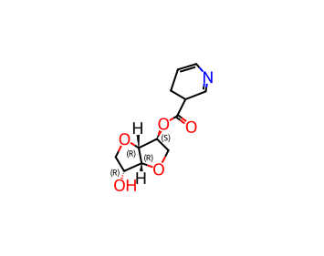 O=C(O[C@H]1CO[C@H]2[C@@H]1OC[C@H]2O)C1C=NC=CC1